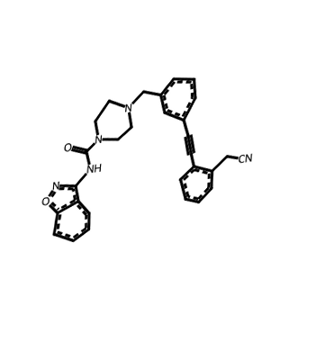 N#CCc1ccccc1C#Cc1cccc(CN2CCN(C(=O)Nc3noc4ccccc34)CC2)c1